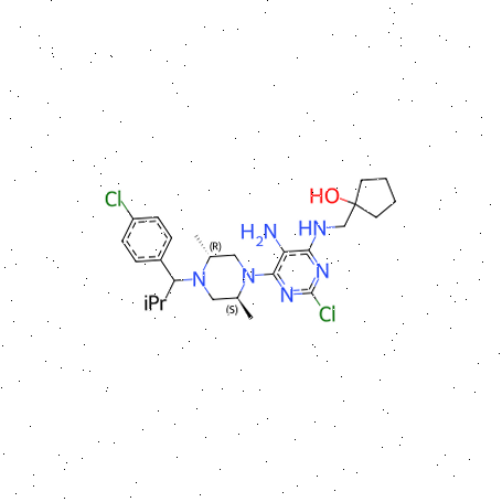 CC(C)C(c1ccc(Cl)cc1)N1C[C@H](C)N(c2nc(Cl)nc(NCC3(O)CCCC3)c2N)C[C@H]1C